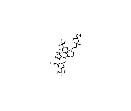 Cc1nc2c(cc1C(F)(F)F)N(CCC(C)(C)CC(=O)O)CCCC2N(Cc1cc(C(F)(F)F)cc(C(F)(F)F)c1)c1nnn(C)n1